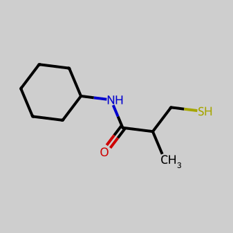 CC(CS)C(=O)NC1CCCCC1